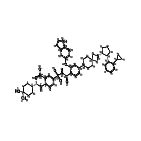 C[C@]1(O)CC[C@H](CNc2ncc(S(=O)(=O)NC(=O)c3ccc(N4CCC5(CC4)CN([C@@H]4CCC[C@@H]4c4ccccc4C4CC4)C5)cc3Oc3cnc4[nH]ccc4c3)cc2[N+](=O)[O-])CC1